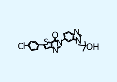 CC(C)(O)Cn1cnc2ccc(-n3cnc4cc(-c5ccc(Cl)cc5)sc4c3=O)cc21